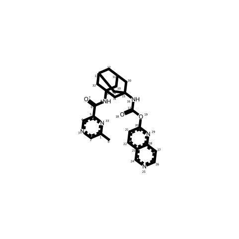 Cc1cncc(C(=O)NC23CC4CC(CC(NC(=O)Oc5ccc6cnccc6n5)(C4)C2)C3)n1